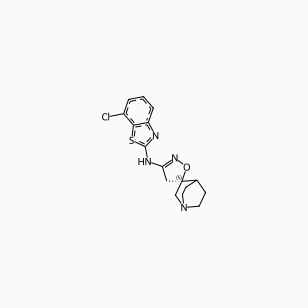 Clc1cccc2nc(NC3=NO[C@]4(C3)CN3CCC4CC3)sc12